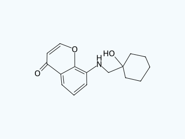 O=c1ccoc2c(NCC3(O)CCCCC3)cccc12